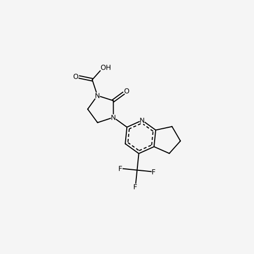 O=C(O)N1CCN(c2cc(C(F)(F)F)c3c(n2)CCC3)C1=O